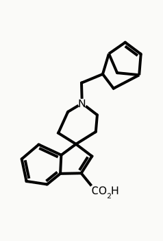 O=C(O)C1=CC2(CCN(CC3CC4C=CC3C4)CC2)c2ccccc21